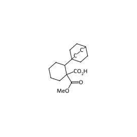 COC(=O)C1(C(=O)O)CCCCC1C12CCC(CC1)CC2